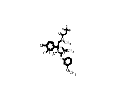 C=CC[C@@](CN(C)C(=O)CC(F)(F)F)(c1ccc(Cl)c(Cl)c1)N(C)C(=O)Oc1cccc(OC)c1